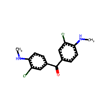 CNc1ccc(C(=O)c2ccc(NC)c(Cl)c2)cc1Cl